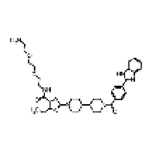 CCc1nc(N2CCC(C3CCN(C(=O)c4ccc(-c5nc6ccccc6[nH]5)cc4)CC3)CC2)sc1C(=O)NCCOCCOCCN